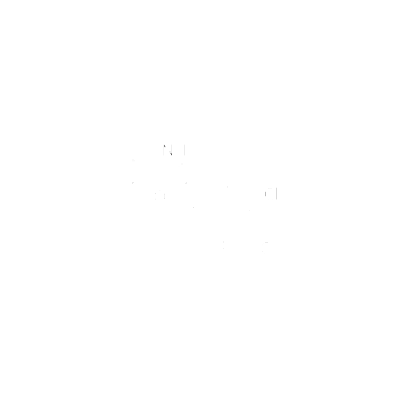 Clc1ccc([C@H]2CNCCO2)cc1Cl